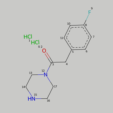 Cl.Cl.O=C(Cc1ccc(F)cc1)N1CCNCC1